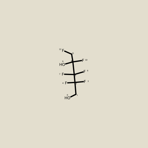 OCC(F)(F)C(F)(F)C(O)(F)CF